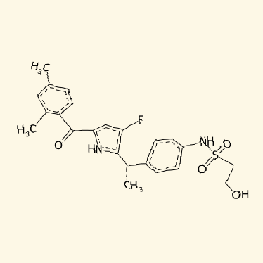 Cc1ccc(C(=O)c2cc(F)c(C(C)c3ccc(NS(=O)(=O)CCO)cc3)[nH]2)c(C)c1